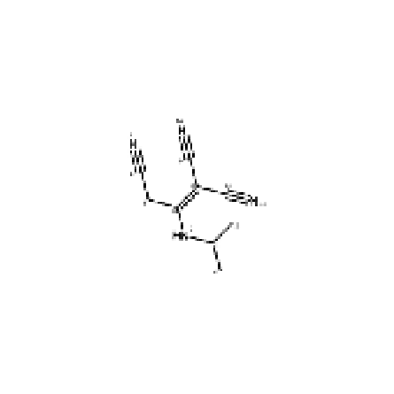 CC(C)NC(CC#N)=C(C#N)C#N